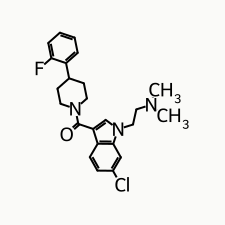 CN(C)CCn1cc(C(=O)N2CCC(c3ccccc3F)CC2)c2ccc(Cl)cc21